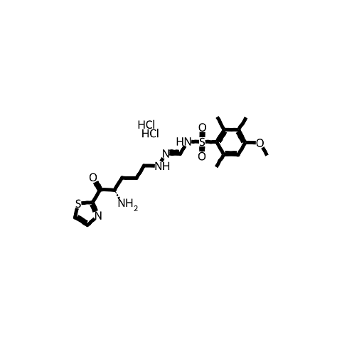 COc1cc(C)c(S(=O)(=O)NC=NNCCC[C@H](N)C(=O)c2nccs2)c(C)c1C.Cl.Cl